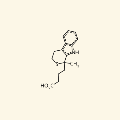 CC1(CCCC(=O)O)SCCc2c1[nH]c1ccccc21